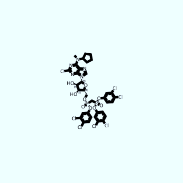 CN(c1nc(Cl)nc2c1ncn2[C@@H]1O[C@H](COP(=O)(CP(=O)(Oc2ccc(Cl)c(Cl)c2)Oc2ccc(Cl)c(Cl)c2)Oc2ccc(Cl)c(Cl)c2)[C@@H](O)[C@H]1O)C1CCCC1